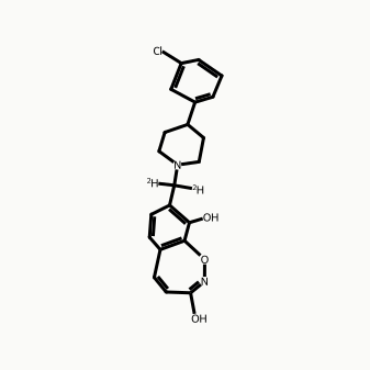 [2H]C([2H])(c1ccc2c(c1O)ON=C(O)C=C2)N1CCC(c2cccc(Cl)c2)CC1